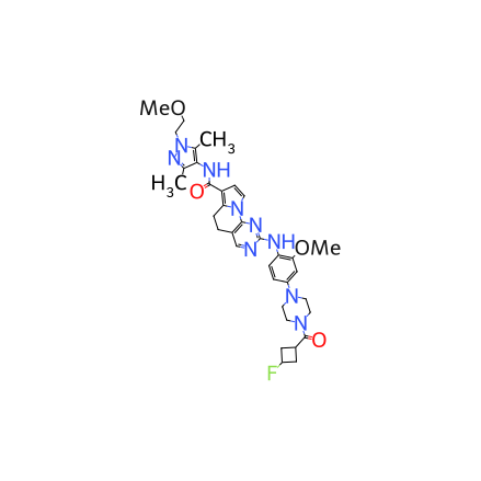 COCCn1nc(C)c(NC(=O)c2ccn3c2CCc2cnc(Nc4ccc(N5CCN(C(=O)C6CC(F)C6)CC5)cc4OC)nc2-3)c1C